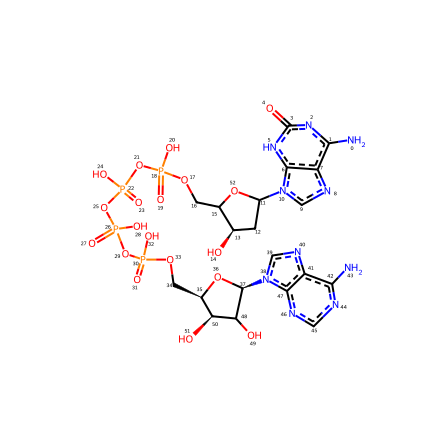 Nc1nc(=O)[nH]c2c1ncn2C1C[C@@H](O)C(COP(=O)(O)OP(=O)(O)OP(=O)(O)OP(=O)(O)OC[C@H]2O[C@@H](n3cnc4c(N)ncnc43)C(O)[C@H]2O)O1